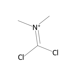 C[N+](C)=C(Cl)Cl